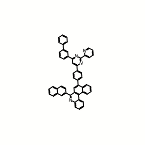 c1ccc(-c2cccc(-c3cc(-c4ccc(-c5cc6c(-c7ccc8ccccc8c7)nc7ccccc7c6c6ccccc56)cc4)nc(-c4ccccn4)n3)c2)cc1